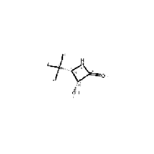 CC(C)(C)[C@@H]1NC(=O)[C@@H]1O